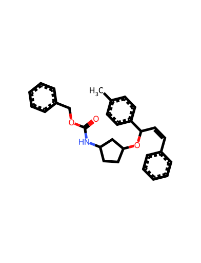 Cc1ccc(C(/C=C\c2ccccc2)OC2CCC(NC(=O)OCc3ccccc3)C2)cc1